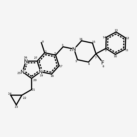 Cc1c(CN2CCC(F)(c3ccccc3)CC2)ccn2c(CC3CC3)nnc12